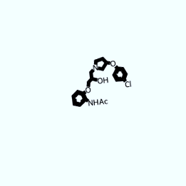 CC(=O)Nc1ccccc1OCC(O)CN1CCC(Oc2ccc(Cl)cc2)C1